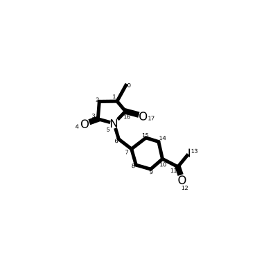 CC1CC(=O)N(CC2CCC(C(=O)I)CC2)C1=O